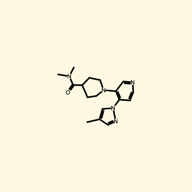 Cc1cnn(-c2ccncc2N2CCC(C(=O)N(C)C)CC2)c1